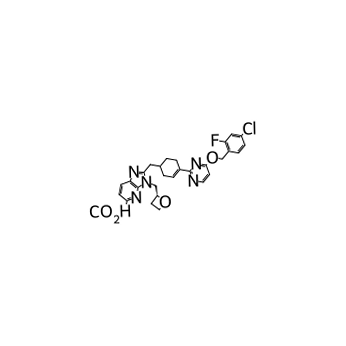 O=C(O)c1ccc2nc(CC3CC=C(c4nccc(OCc5ccc(Cl)cc5F)n4)CC3)n(C[C@@H]3CCO3)c2n1